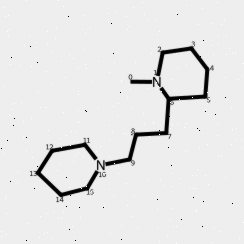 CN1CCCCC1C[CH]CN1CCCCC1